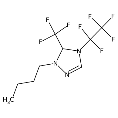 CCCCN1N=CN(C(F)(F)C(F)(F)F)C1C(F)(F)F